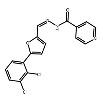 O=C(N/N=C\c1ccc(-c2cccc(Cl)c2Cl)o1)c1ccncc1